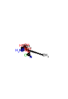 CCCCCCCCCCCCCCCCC[C@H](COP(=O)(O)OC[C@@]1(C)O[C@@H](c2ccc3c(N)ncnn23)[C@H](O)[C@@H]1O)OCc1cc(Cl)cc(C#N)c1